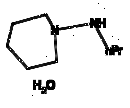 CCCNN1CCCCC1.O